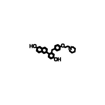 Oc1ccc(-c2ccc3cc(O)ccc3c2)c(Cc2ccc(OCCN3CCCCC3)cc2)c1